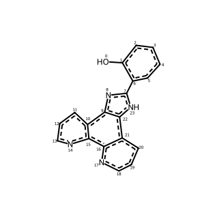 Oc1ccccc1-c1nc2c3cccnc3c3ncccc3c2[nH]1